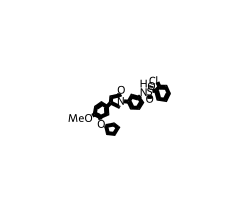 COc1ccc(C2CC(=O)N(c3cccc(NS(=O)(=O)c4ccccc4Cl)c3)C2)cc1OC1CCCC1